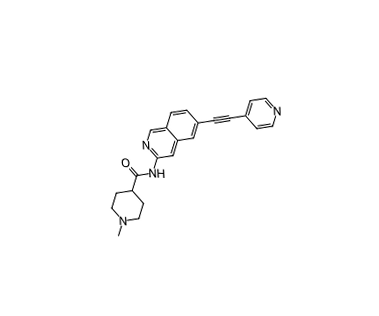 CN1CCC(C(=O)Nc2cc3cc(C#Cc4ccncc4)ccc3cn2)CC1